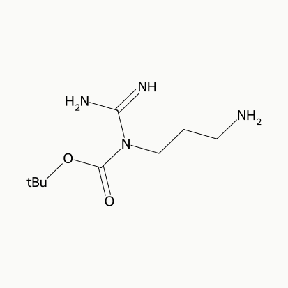 CC(C)(C)OC(=O)N(CCCN)C(=N)N